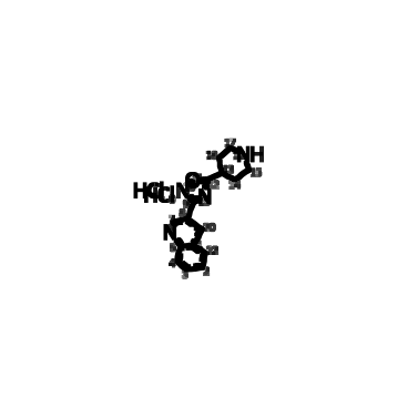 Cl.Cl.c1ccc2ncc(-c3noc(C4CCNCC4)n3)cc2c1